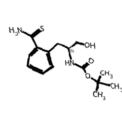 CC(C)(C)OC(=O)N[C@H](CO)Cc1ccccc1C(N)=S